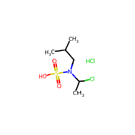 CC(C)CN(C(C)Cl)S(=O)(=O)O.Cl